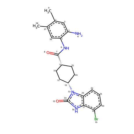 Cc1cc(N)c(NC(=O)[C@H]2CC[C@@H](n3c(=O)[nH]c4c(Br)cccc43)CC2)cc1C